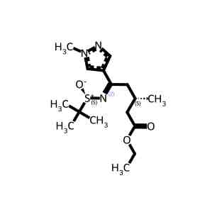 CCOC(=O)C[C@@H](C)C/C(=N/[S@+]([O-])C(C)(C)C)c1cnn(C)c1